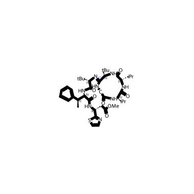 COC(=O)C[C@@H](NC(=O)[C@@H](NC(=O)[C@@H](/N=C1\NCC(=O)N[C@@H](C(C)C)C(=O)N[C@@H](C(C)C)C(=O)N[C@H]1C(C)(C)C)C(C)(C)C)[C@@H](C)c1ccccc1)c1nccs1